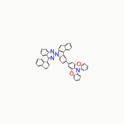 c1ccc2c(c1)Oc1cc(-c3ccc4c(c3)c3c5ccccc5ccc3n4-c3nc(-c4cccc5ccccc45)c4ccccc4n3)cc3c1N2c1ccccc1O3